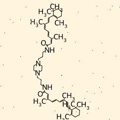 CC(C=CC1=C(C)CCCC1(C)C)=CC=CC(C)=CC(=O)NCCCN1CCN(CCCNC(=O)C=C(C)C=CC=C(C)C=CC2=C(C)CCCC2(C)C)CC1